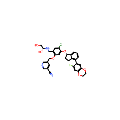 N#Cc1cncc(COc2cc(O[C@H]3CCc4c(-c5cc6c(cc5F)OCCO6)cccc43)c(Cl)cc2CN[C@H](O)CO)c1